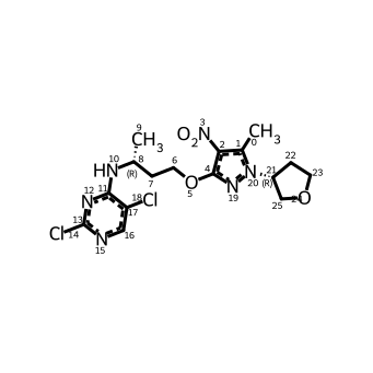 Cc1c([N+](=O)[O-])c(OCC[C@@H](C)Nc2nc(Cl)ncc2Cl)nn1[C@@H]1CCOC1